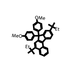 CCC(C)(C)c1ccc2c(c1)C(c1ccc(OC)cc1)(c1ccc(OC)cc1)c1cc(C(C)(C)CC)c3ccccc3c1-2